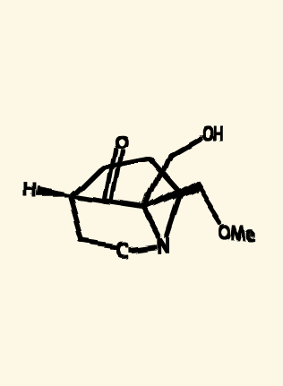 COC[C@]1(CO)C(=O)[C@H]2CCCN1CC2